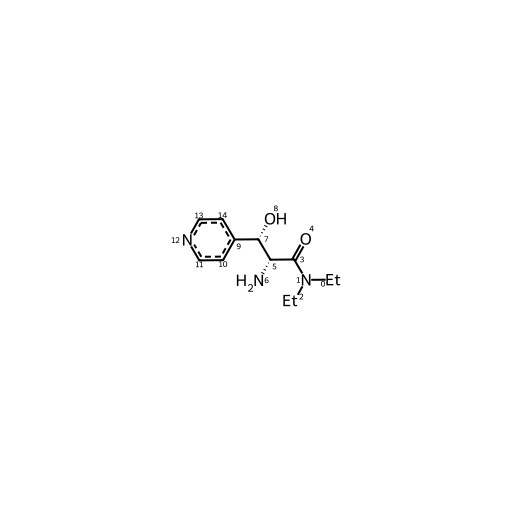 CCN(CC)C(=O)[C@H](N)[C@@H](O)c1ccncc1